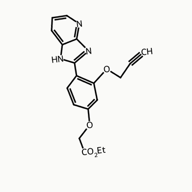 C#CCOc1cc(OCC(=O)OCC)ccc1-c1nc2ncccc2[nH]1